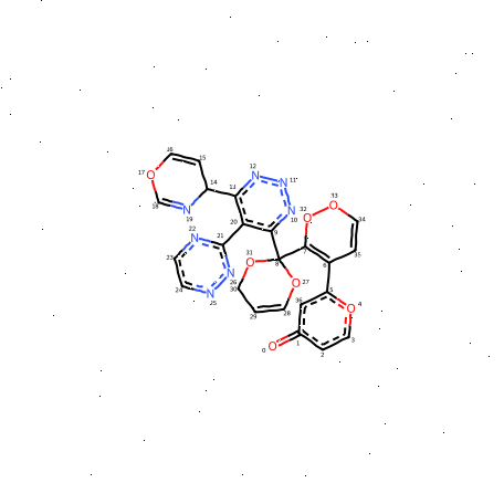 O=c1ccoc(C2=C(C3(c4nnnc(C5C=CO[C]=N5)c4-c4nccnn4)OC=CCO3)OOC=C2)c1